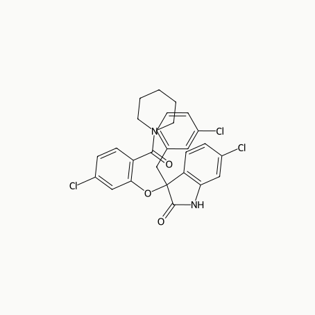 O=C(c1ccc(Cl)cc1OC1(Cc2cccc(Cl)c2)C(=O)Nc2cc(Cl)ccc21)N1CCCCC1